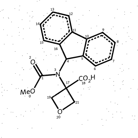 COC(=O)N(C1c2ccccc2-c2ccccc21)C1(C(=O)O)COC1